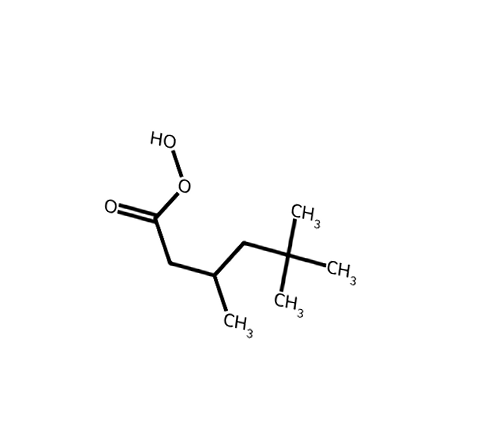 CC(CC(=O)OO)CC(C)(C)C